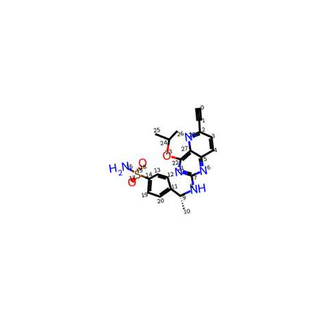 C#Cc1ccc2nc(N[C@H](C)c3ccc(S(N)(=O)=O)cc3)nc(OC(C)C)c2n1